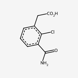 NC(=O)c1cccc(CC(=O)O)c1Cl